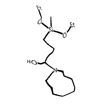 CCO[Si](C)(CCC(O)N1CCCCCC1)OCC